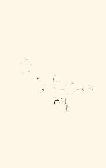 CC[NH+]([O-])c1cc(C#N)ccc1/C=C(\C(C)=O)C(=O)OCc1ccccc1